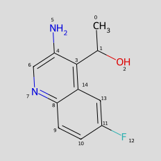 CC(O)c1c(N)cnc2ccc(F)cc12